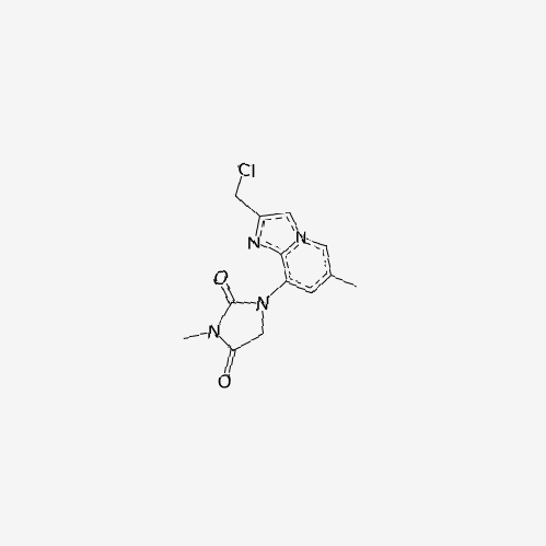 Cc1cc(N2CC(=O)N(C)C2=O)c2nc(CCl)cn2c1